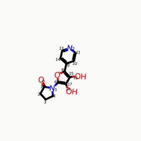 O=C1CCCN1c1oc(-c2ccncc2)c(O)c1O